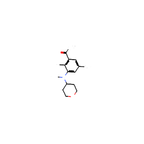 CCCN(c1cc([N+](=O)[O-])cc(C(=O)OC)c1C)C1CCOCC1